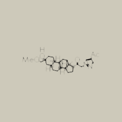 COC[C@@]1(O)CC[C@@]2(C)[C@@H](CC[C@@H]3[C@@H]2CC[C@]2(C)[C@@H](C(=O)Cn4cc(C(C)=O)cn4)CC[C@@H]32)C1